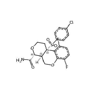 NC(=O)[C@@H]1OCC[C@@]2(S(=O)(=O)c3ccc(Cl)cc3)c3c(F)ccc(F)c3OC[C@@H]12